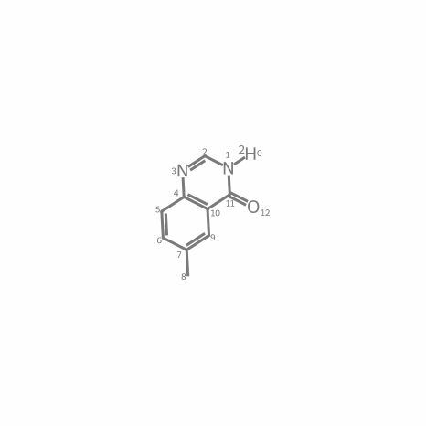 [2H]n1cnc2ccc(C)cc2c1=O